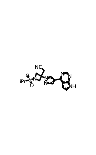 CC(C)S(=O)(=O)N1CC(CC#N)(n2cc(-c3ncnc4[nH]ccc34)cn2)C1